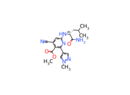 COC(=O)c1c(C#N)cc(N[C@H](CC(C)C)C(N)=O)nc1-c1cnn(C)c1